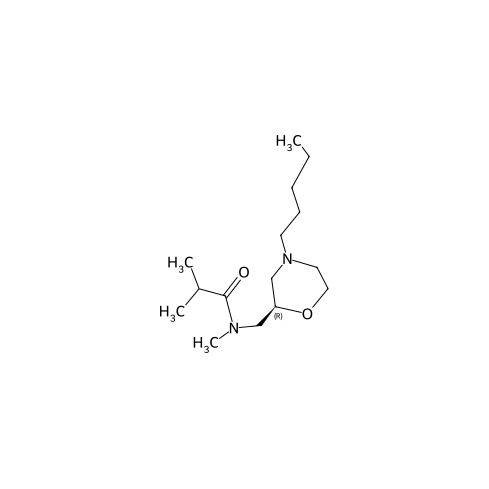 CCCCCN1CCO[C@@H](CN(C)C(=O)C(C)C)C1